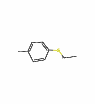 C[CH]Sc1ccc(C)cc1